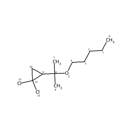 CCCCCOC(C)(C)C1CC1(Cl)Cl